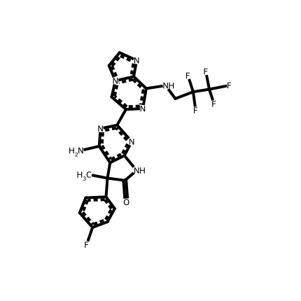 CC1(c2ccc(F)cc2)C(=O)Nc2nc(-c3cn4ccnc4c(NCC(F)(F)C(F)(F)F)n3)nc(N)c21